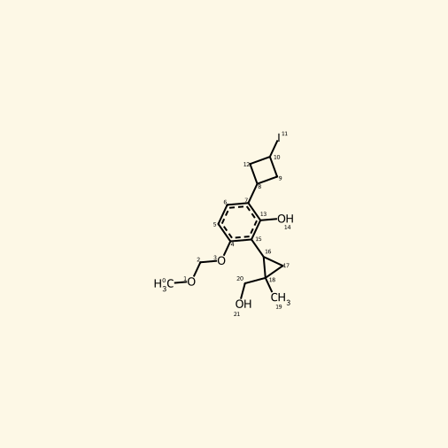 COCOc1ccc(C2CC(I)C2)c(O)c1C1CC1(C)CO